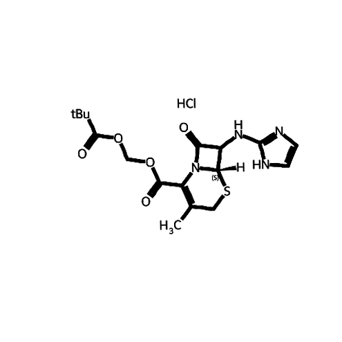 CC1=C(C(=O)OCOC(=O)C(C)(C)C)N2C(=O)C(Nc3ncc[nH]3)[C@@H]2SC1.Cl